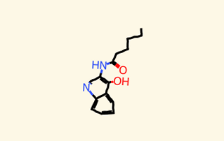 CCCCCC(=O)Nc1cnc2ccccc2c1O